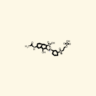 CC(=O)Nc1ccc2cc(S(=O)(=O)O)c(/N=N/c3cccc(S(=O)(=O)CCOS(=O)(=O)O)c3)c(O)c2c1